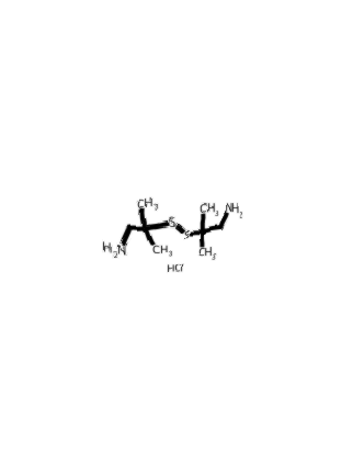 CC(C)(CN)SSC(C)(C)CN.Cl